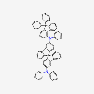 c1ccc(N(c2ccccc2)c2ccc3c(c2)-c2ccccc2C32c3ccccc3-c3cc(N(c4ccccc4)c4cccc5c4-c4ccccc4C5(c4ccccc4)c4ccccc4)ccc32)cc1